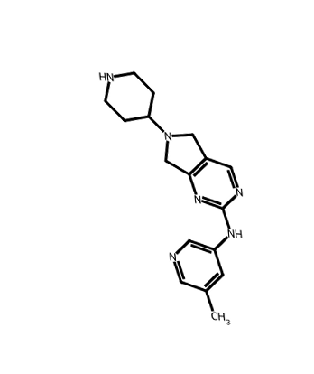 Cc1cncc(Nc2ncc3c(n2)CN(C2CCNCC2)C3)c1